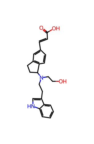 O=C(O)C=Cc1ccc2c(c1)CCC2N(CCO)CCc1c[nH]c2ccccc12